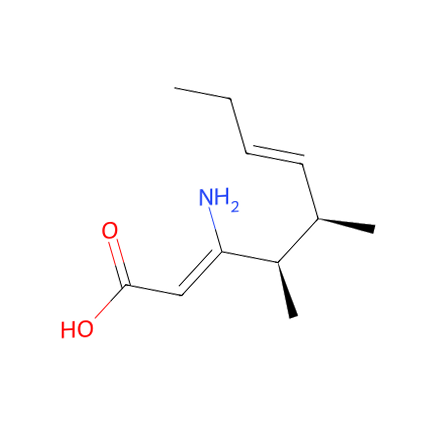 CCC=C[C@@H](C)[C@@H](C)C(N)=CC(=O)O